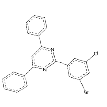 Clc1cc(Br)cc(-c2nc(-c3ccccc3)cc(-c3ccccc3)n2)c1